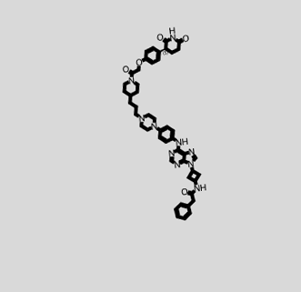 O=C1CC[C@@H](c2ccc(OCC(=O)N3CCC(CCCN4CCN(c5ccc(Nc6ncnc7c6ncn7C6CC(NC(=O)Cc7ccccc7)C6)cc5)CC4)CC3)cc2)C(=O)N1